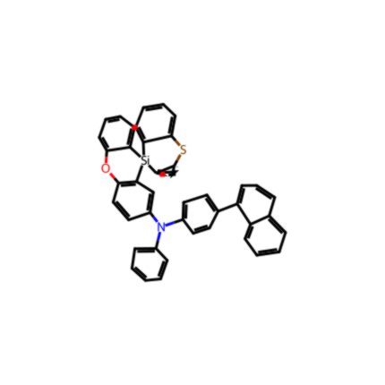 c1ccc(N(c2ccc(-c3cccc4ccccc34)cc2)c2ccc3c(c2)[Si]2(c4ccccc4O3)c3ccccc3Sc3ccccc32)cc1